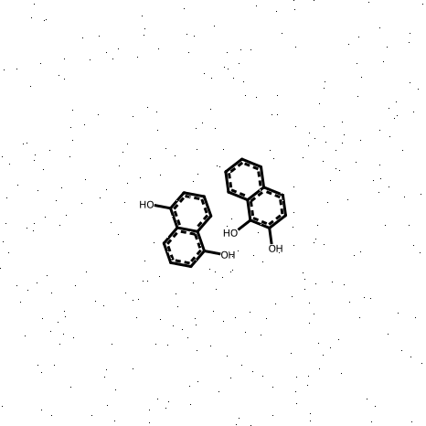 Oc1ccc2ccccc2c1O.Oc1cccc2c(O)cccc12